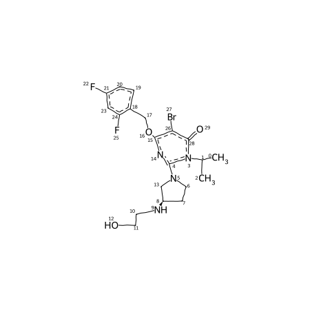 CC(C)n1c(N2CC[C@@H](NCCO)C2)nc(OCc2ccc(F)cc2F)c(Br)c1=O